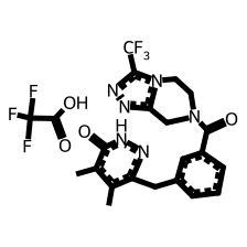 Cc1c(Cc2cccc(C(=O)N3CCn4c(nnc4C(F)(F)F)C3)c2)n[nH]c(=O)c1C.O=C(O)C(F)(F)F